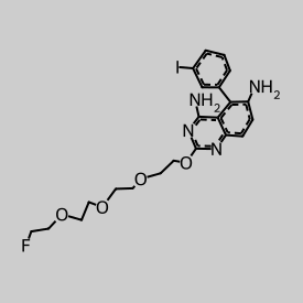 Nc1ccc2nc(OCCOCCOCCOCCF)nc(N)c2c1-c1cccc(I)c1